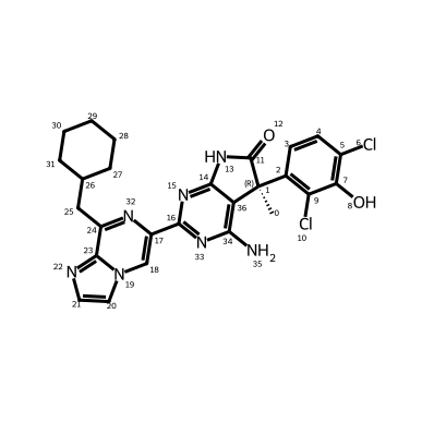 C[C@@]1(c2ccc(Cl)c(O)c2Cl)C(=O)Nc2nc(-c3cn4ccnc4c(CC4CCCCC4)n3)nc(N)c21